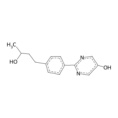 CC(O)CCc1ccc(-c2ncc(O)cn2)cc1